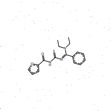 CCN(CC)/C(=N\C(=S)NC(=O)c1ccco1)c1ccccc1